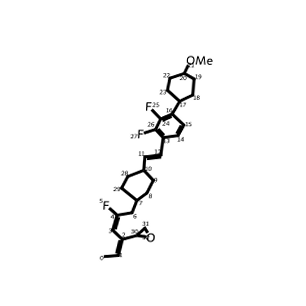 C/C=C(\C=C(\F)CC1CCC(/C=C/c2ccc(C3CCC(OC)CC3)c(F)c2F)CC1)C1CO1